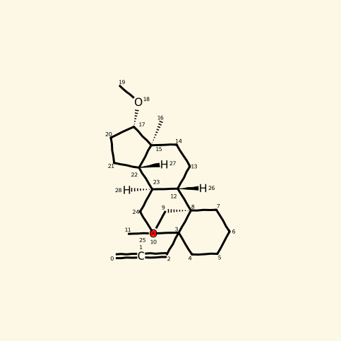 C=C=CC12CCCC[C@]1(COC)[C@H]1CC[C@]3(C)[C@@H](OC)CC[C@H]3[C@@H]1CC2